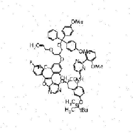 C=CCOCC(COC(c1ccccc1)(c1ccc(OC)cc1)c1ccc(OC)cc1)Oc1cc(C)c(-c2c(-c3ccc(F)cc3)oc3ncnc(OC(Cc4cc(O[Si](C)(C)C(C)(C)C)ccc4OCc4ccnc(-c5ccccc5OC)n4)C(=O)O)c23)c(C)c1